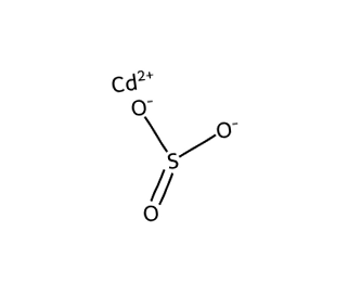 O=S([O-])[O-].[Cd+2]